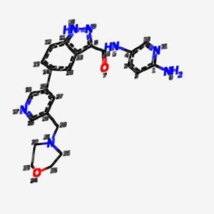 Nc1ccc(NC(=O)c2n[nH]c3ccc(-c4cncc(CN5CCOCC5)c4)cc23)cn1